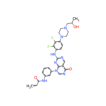 C=CC(=O)Nc1cccc(-n2cnc(=O)c3cnc(Nc4ccc(N5CCN(CC(C)O)CC5)c(F)c4F)nc32)c1